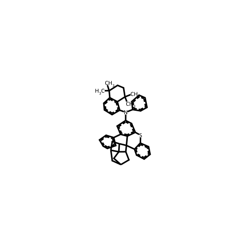 CC1(C)CCC(C)(C)c2c(N(c3ccccc3)c3cc4c(c(-c5ccccc5)c3)C3(c5ccccc5S4)C4CC5CC6CC3C64C5)cccc21